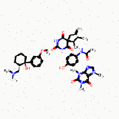 C=CCC1(C(C)CC)C(=O)NC(=O)NC1=O.CC(=O)Nc1ccc(O)cc1.COc1cccc([C@@]2(O)CCCC[C@@H]2CN(C)C)c1.Cn1c(=O)c2c(ncn2C)n(C)c1=O